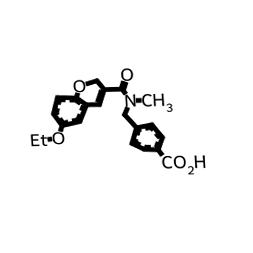 CCOc1ccc2c(c1)C=C(C(=O)N(C)Cc1ccc(C(=O)O)cc1)CO2